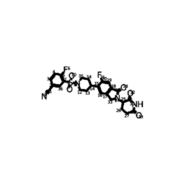 N#Cc1ccc(F)c(S(=O)(=O)N2CCC(c3cc4c(cc3F)C(=O)N(C3CCC(=O)NC3=O)C4)CC2)c1